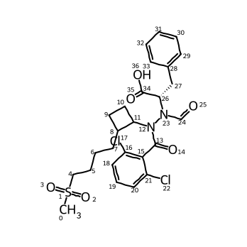 CS(=O)(=O)CCCCC1CCC1N(C(=O)c1c(Cl)cccc1Cl)N(C=O)[C@@H](Cc1ccccc1)C(=O)O